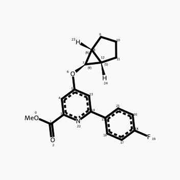 COC(=O)c1cc(O[C@H]2[C@@H]3CCC[C@@H]32)cc(-c2ccc(F)cc2)n1